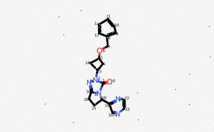 O=c1n(C2CC(OCc3ccccc3)C2)nc2n1C(c1cnccn1)CC2